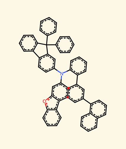 c1ccc(C2(c3ccccc3)c3ccccc3-c3ccc(N(c4ccc5c(c4)oc4ccccc45)c4ccccc4-c4cccc(-c5cccc6ccccc56)c4)cc32)cc1